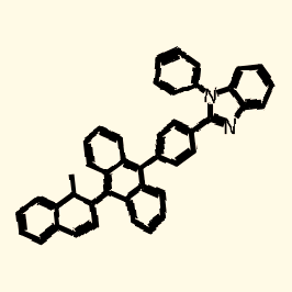 CC1c2ccccc2C=CC1c1c2ccccc2c(-c2ccc(-c3nc4ccccc4n3-c3ccccc3)cc2)c2ccccc12